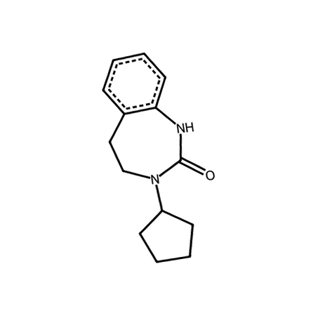 O=C1Nc2ccccc2CCN1C1CCCC1